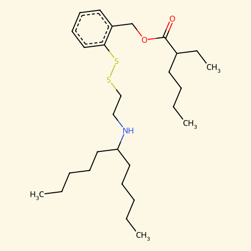 CCCCCC(CCCCC)NCCSSc1ccccc1COC(=O)C(CC)CCCC